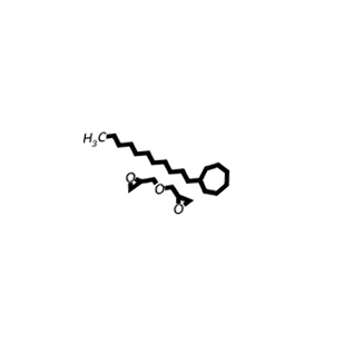 C(OCC1CO1)C1CO1.CCCCCCCCCCCC1CCCCCC1